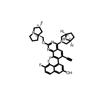 C#Cc1cc2c(N3C[C@H]4CC[C@@H](C3)N4)nc(OC[C@@]34CCCN3C[C@H](F)C4)nc2c(F)c1-c1cc(O)cc2ccc(F)c(F)c12